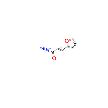 N#[N+]C(=O)/C=C/c1ccco1